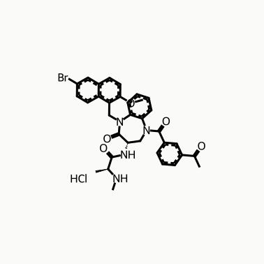 CN[C@@H](C)C(=O)N[C@H]1CN(C(=O)c2cccc(C(C)=O)c2)c2ccccc2N(Cc2c(OC)ccc3cc(Br)ccc23)C1=O.Cl